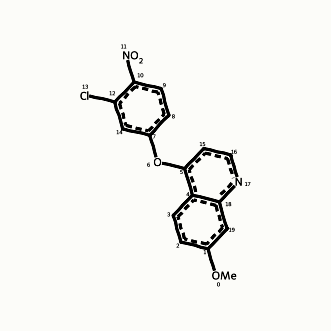 COc1ccc2c(Oc3ccc([N+](=O)[O-])c(Cl)c3)ccnc2c1